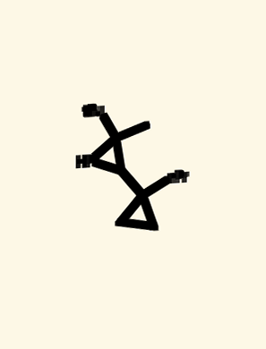 CCCC1(C2PC2(C)C(C)(C)C)CC1